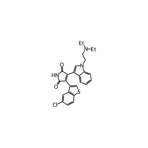 CCN(CC)CCn1cc(C2=C(c3csc4ccc(Cl)cc34)C(=O)NC2=O)c2ccccc21